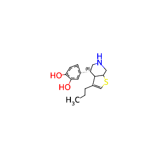 CCCC1=CSC2CNC[C@@H](c3ccc(O)c(O)c3)C12